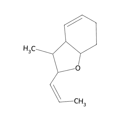 C/C=C\C1OC2CCC=CC2C1C